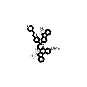 COc1ccc2c3c(c4c(c2c1)OC(c1ccc(CCC2CCOCC2)cc1)(c1ccc2c(c1)C(C)(C)c1ccccc1-2)C=C4)C(C)(C)c1ccccc1-3